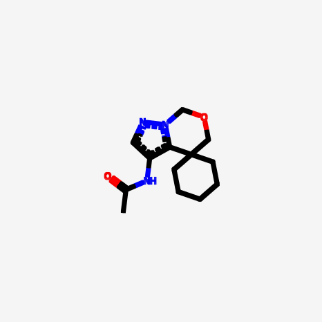 CC(=O)Nc1cnn2c1C1(CCCCC1)COC2